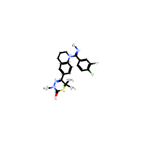 CC/N=C(/c1ccc(Cl)c(Cl)c1)N1CCCc2cc(C3=NN(C)C(=O)SC3(C)C)ccc21